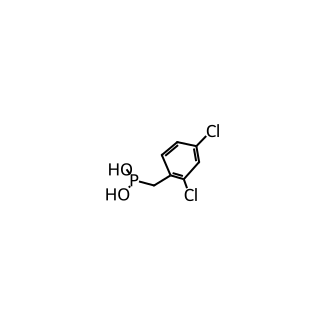 OP(O)Cc1ccc(Cl)cc1Cl